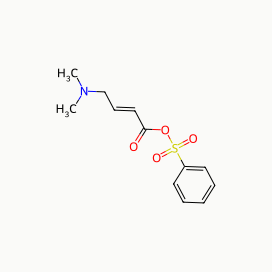 CN(C)CC=CC(=O)OS(=O)(=O)c1ccccc1